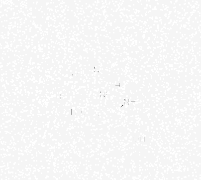 CCN(Cc1ccccc1)C(=O)[C@H](NC(=O)[C@@H](N)CC(=O)O)C(C)C